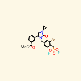 COC(=O)c1cccc(-c2cn(C3CC3)c(=O)n2Cc2ccc(CP(=O)(OF)OF)c(Br)c2)c1